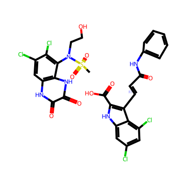 CS(=O)(=O)N(CCO)c1c(Cl)c(Cl)cc2[nH]c(=O)c(=O)[nH]c12.O=C(/C=C/c1c(C(=O)O)[nH]c2cc(Cl)cc(Cl)c12)Nc1ccccc1